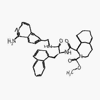 COC(=O)N1CCC2CCCCC2C1C(=O)N[C@@H](Cc1cccc2ccccc12)C(=O)NCc1ccc2c(N)nccc2c1